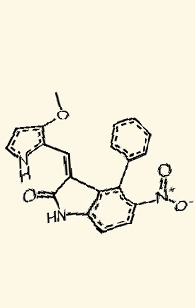 COc1cc[nH]c1/C=C1\C(=O)Nc2ccc([N+](=O)[O-])c(-c3ccccc3)c21